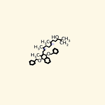 C=C(C)C(O)CC/C(C)=C/CC/C(C)=C/CC1=C(C)C(OCc2ccccc2)c2ccccc2C1OCc1ccccc1